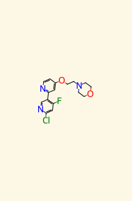 Fc1cc(Cl)ncc1-c1cc(OCCN2CCOCC2)ccn1